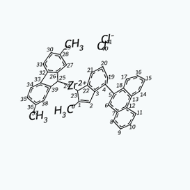 CC1=Cc2c(-c3cc4ccccc4c4ccccc34)cccc2[CH]1[Zr+2][CH]1c2cc(C)ccc2-c2ccc(C)cc21.[Cl-].[Cl-]